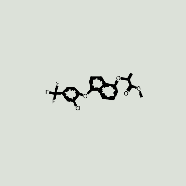 COC(=O)C(C)Oc1cccc2c(Oc3ccc(C(F)(F)F)cc3Cl)cccc12